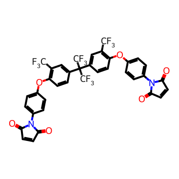 O=C1C=CC(=O)N1c1ccc(Oc2ccc(C(c3ccc(Oc4ccc(N5C(=O)C=CC5=O)cc4)c(C(F)(F)F)c3)(C(F)(F)F)C(F)(F)F)cc2C(F)(F)F)cc1